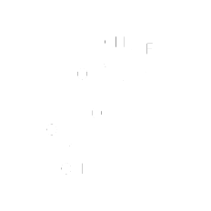 CC(=O)c1c(F)cccc1OCC(=O)O